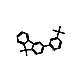 CC(C)(C)c1ccnc(-c2ccc3c(c2)-c2ccccc2C3(C)C)c1